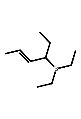 CC=CC(CC)B(CC)CC